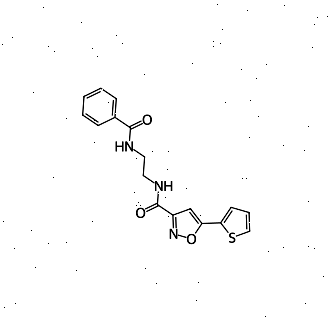 O=C(NCCNC(=O)c1cc(-c2cccs2)on1)c1ccccc1